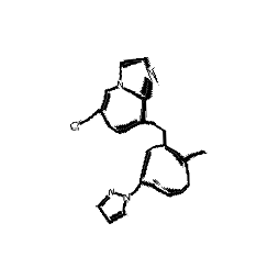 Cc1ccc(-n2cccn2)cc1Cc1cc(Cl)cn2ccnc12